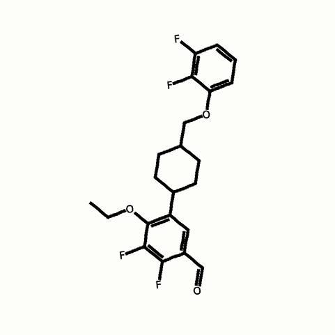 CCOc1c(C2CCC(COc3cccc(F)c3F)CC2)cc(C=O)c(F)c1F